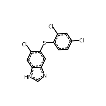 Clc1ccc(Sc2cc3nc[nH]c3cc2Cl)c(Cl)c1